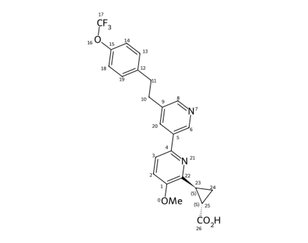 COc1ccc(-c2cncc(CCc3ccc(OC(F)(F)F)cc3)c2)nc1[C@H]1C[C@@H]1C(=O)O